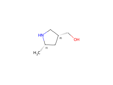 C[C@H]1C[C@@H](CO)CN1